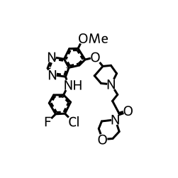 COc1cc2ncnc(Nc3ccc(F)c(Cl)c3)c2cc1OC1CCN(CCC(=O)N2CCOCC2)CC1